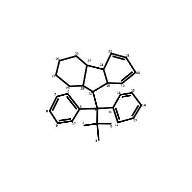 CC(C)(C)C(c1ccccc1)(c1ccccc1)C1C2C=CC=CC2C2CCCCC21